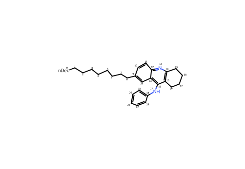 CCCCCCCCCCCCCCCCCCc1ccc2nc3c(c(Nc4ccccc4)c2c1)CCCC3